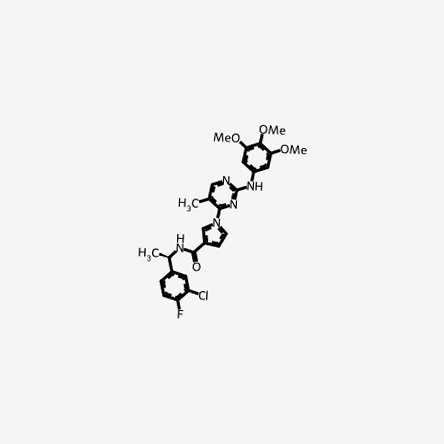 COc1cc(Nc2ncc(C)c(-n3ccc(C(=O)N[C@H](C)c4ccc(F)c(Cl)c4)c3)n2)cc(OC)c1OC